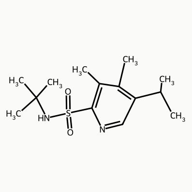 Cc1c(C(C)C)cnc(S(=O)(=O)NC(C)(C)C)c1C